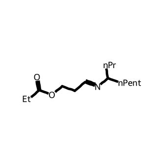 CCCCCC(CCC)N=CCCOC(=O)CC